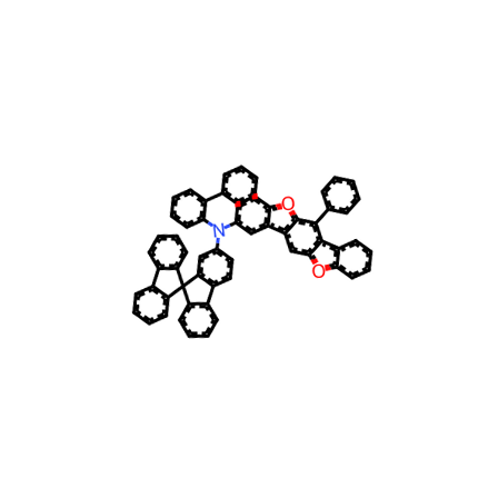 c1ccc(-c2ccccc2N(c2ccc3c(c2)C2(c4ccccc4-c4ccccc42)c2ccccc2-3)c2ccc3oc4c(-c5ccccc5)c5c(cc4c3c2)oc2ccccc25)cc1